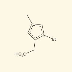 CCn1cc(C)cc1CC(=O)O